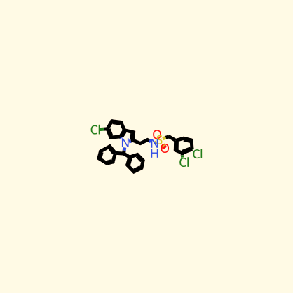 O=S(=O)(Cc1ccc(Cl)c(Cl)c1)NCCc1cc2ccc(Cl)cc2n1C(c1ccccc1)c1ccccc1